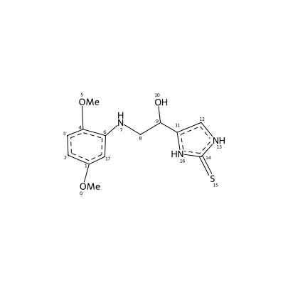 COc1ccc(OC)c(NCC(O)c2c[nH]c(=S)[nH]2)c1